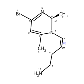 CC1=CC(Br)=N[C@@H](C)N1/C=C\CCN